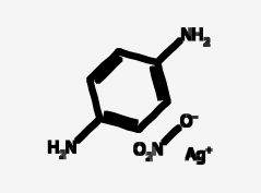 Nc1ccc(N)cc1.O=[N+]([O-])[O-].[Ag+]